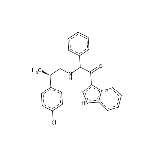 C[C@@H](CNC(C(=O)c1c[nH]c2ccccc12)c1ccccc1)c1ccc(Cl)cc1